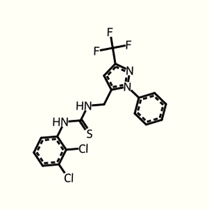 FC(F)(F)c1cc(CNC(=S)Nc2cccc(Cl)c2Cl)n(-c2ccccc2)n1